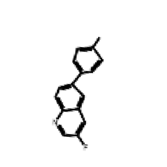 Cc1ccc(-c2ccc3ncc(F)cc3c2)cc1